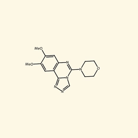 COc1cc2nc(N3CCOCC3)n3cnnc3c2cc1OC